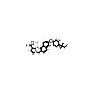 CCC(C)(C)C1CCC(Oc2ccc3cc(CN4CC[C@@H](C(=O)O)C4)ccc3c2)CC1